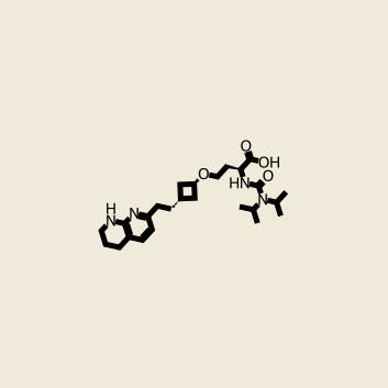 CC(C)N(C(=O)N[C@@H](CCO[C@H]1C[C@H](CCc2ccc3c(n2)NCCC3)C1)C(=O)O)C(C)C